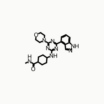 CNC(=O)C1CCC(Nc2nc(-c3cccc4[nH]ncc34)nc(N3CCOCC3)n2)CC1